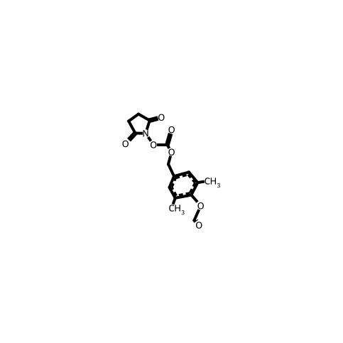 Cc1cc(COC(=O)ON2C(=O)CCC2=O)cc(C)c1OC=O